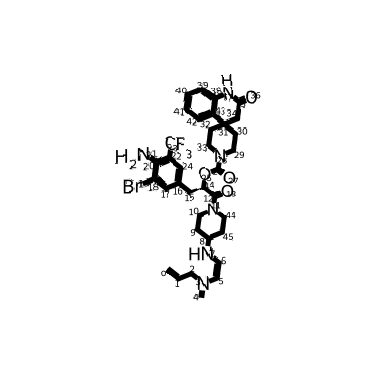 C=CCN(C)/C=C\NC1CCN(C(=O)[C@@H](Cc2cc(Br)c(N)c(C(F)(F)F)c2)OC(=O)N2CCC3(CC2)CC(=O)Nc2ccccc23)CC1